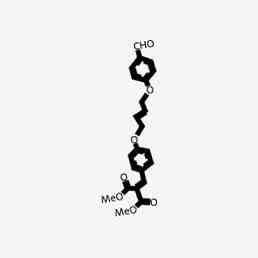 COC(=O)C(=Cc1ccc(OCC=CCOc2ccc(C=O)cc2)cc1)C(=O)OC